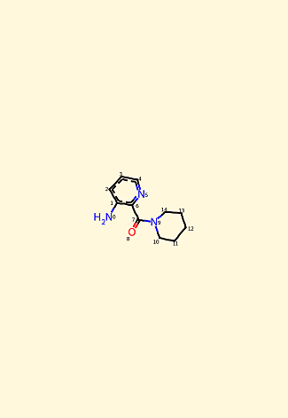 Nc1cccnc1C(=O)N1CCCCC1